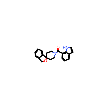 O=C(c1cccc2cc[nH]c12)N1CCC2(CC1)OCc1ccccc12